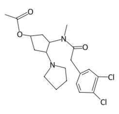 CC(=O)OC1CC(N2CCCC2)C(N(C)C(=O)Cc2ccc(Cl)c(Cl)c2)C1